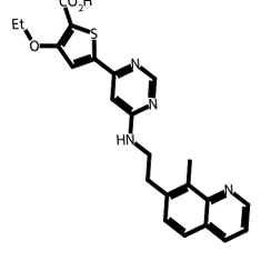 CCOc1cc(-c2cc(NCCc3ccc4cccnc4c3C)ncn2)sc1C(=O)O